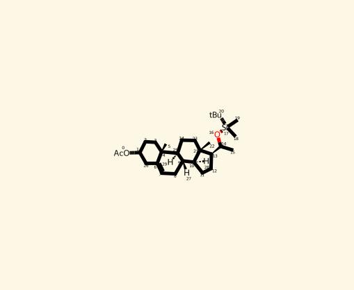 CC(=O)OC1CC[C@@]2(C)C(=CC[C@H]3[C@@H]4CC[C@H](C(C)O[Si](C)(C)C(C)(C)C)[C@@]4(C)CC[C@@H]32)C1